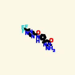 CN1C(=O)CC(C)(c2cccc(NC(=O)c3cn4cc(C(F)(F)F)nc4cn3)c2)N=C1N